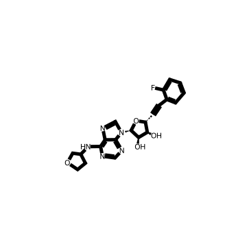 O[C@@H]1[C@H](O)[C@@H](C#Cc2ccccc2F)O[C@H]1n1cnc2c(NC3CCOC3)ncnc21